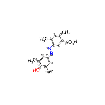 Cc1cc(C)c(S(=O)(=O)O)cc1N=Nc1cc(C)c(O)c(C(C)C)c1